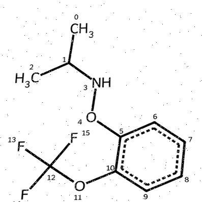 CC(C)NOc1ccccc1OC(F)(F)F